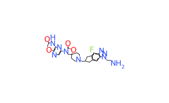 NCCn1nnc2c(F)c3c(cc21)CC(CN1CCC2(CC1)CN(c1cnc4c(n1)NC(=O)CO4)C(=O)O2)C3